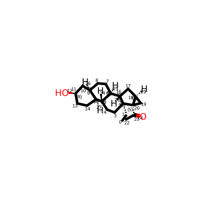 CC[C@]12CC[C@H]3[C@@H](CC[C@@H]4C[C@H](O)CC[C@@H]43)[C@@H]1C[C@H]1C[C@]12C(C)=O